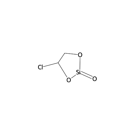 O=[Si]1OCC(Cl)O1